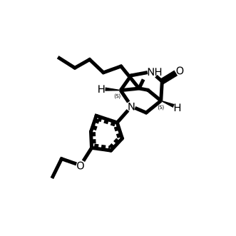 CCCCCC1(C)C[C@H]2CN(c3ccc(OCC)cc3)[C@@H]1CNC2=O